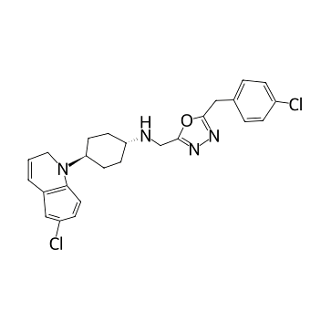 Clc1ccc(Cc2nnc(CN[C@H]3CC[C@H](N4CC=Cc5cc(Cl)ccc54)CC3)o2)cc1